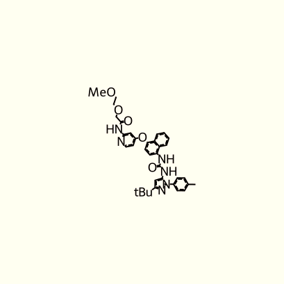 COCCOCC(=O)Nc1cc(Oc2ccc(NC(=O)Nc3cc(C(C)(C)C)nn3-c3ccc(C)cc3)c3ccccc23)ccn1